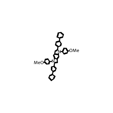 COc1ccc(-n2c(-c3ccc(-c4ccccc4)cc3)cc3cc4c(cc(-c5ccc(-c6ccccc6)cc5)n4-c4ccc(OC)cc4)cc32)cc1